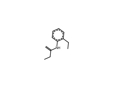 C=C(CC)Nc1ccccc1CC